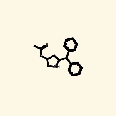 CC(=S)OC1CNC(C(c2ccccc2)c2ccccc2)C1